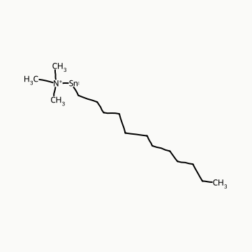 CCCCCCCCCCC[CH2][Sn][N+](C)(C)C